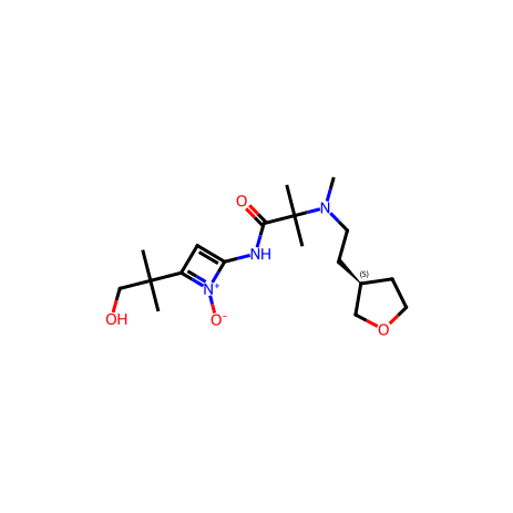 CN(CC[C@H]1CCOC1)C(C)(C)C(=O)NC1=CC(C(C)(C)CO)=[N+]1[O-]